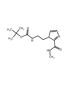 CNC(=O)c1nccn1CCNC(=O)OC(C)(C)C